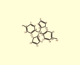 Cc1cc[c]([Ti]([C]2=CC=CC2)([C]2=CC=CC2)[c]2ccc(C)cc2)cc1